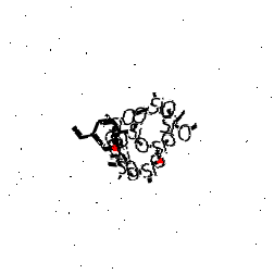 C=Cc1ccc([Si]23O[Si]4(C)O[Si](C)(OC)O[Si](C)(O[Si]5(C)O[Si](C)(C)O[Si](C)(O4)O[Si](C)(O5)O2)O3)cc1